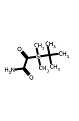 CC(C)(C)[Si](C)(C)C(=O)C(N)=O